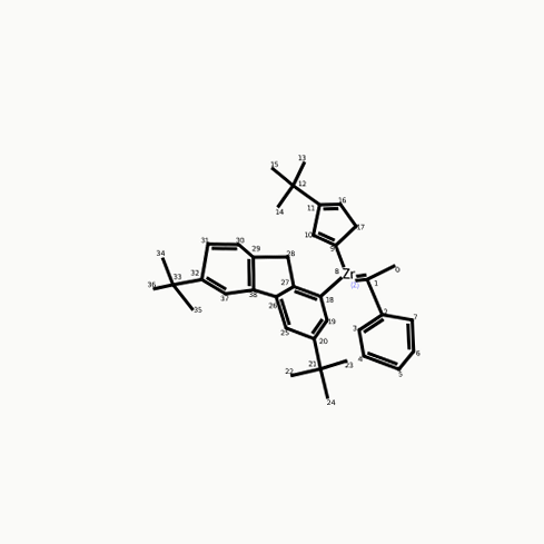 C/[C](c1ccccc1)=[Zr](\[C]1=CC(C(C)(C)C)=CC1)[c]1cc(C(C)(C)C)cc2c1Cc1ccc(C(C)(C)C)cc1-2